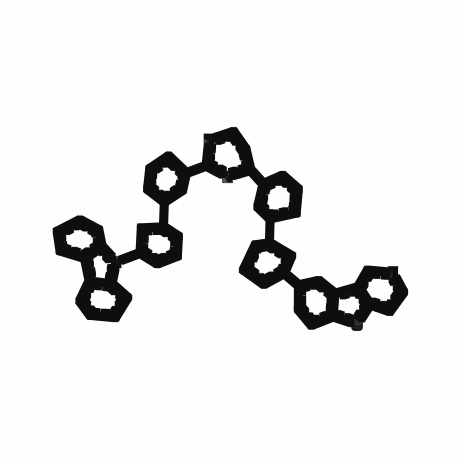 c1cc(-c2cccc(-c3ccnc(-c4cccc(-c5cccc(-n6c7ccccc7c7ccccc76)c5)c4)n3)c2)cc(-c2ccc3oc4ccncc4c3c2)c1